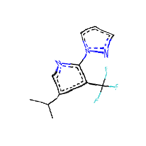 CC(C)c1cnc(-n2cccn2)c(C(F)(F)F)c1